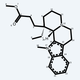 CC[C@]1(CCC(=O)OC)CCCN2CCc3c(n(C)c4ccccc34)[C@@H]21